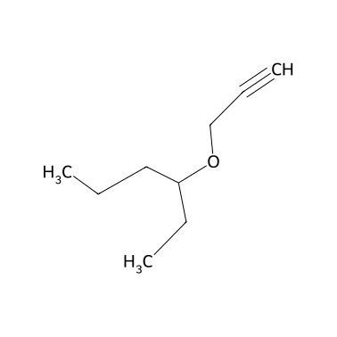 C#CCOC(CC)CCC